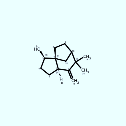 C=C1[C@H]2CC[C@@H](O)[C@@]23CCC(C3)C1(C)C